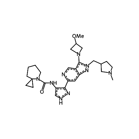 COC1CN(c2c3cnc(-c4n[nH]cc4NC(=O)N4CCCCC45CC5)cc3nn2CC2CCN(C)C2)C1